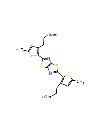 CCCCCCCCCCCCc1cc(C)sc1-c1nc2sc(-c3sc(C)cc3CCCCCCCCCCCC)nc2s1